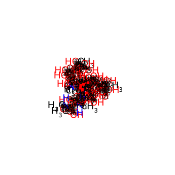 CC(=O)NC1C(O)[C@H](O[C@@H]2OC(CO[C@]3(OC=O)C[C@@H](O)[C@@H](C)C([C@H](O)[C@H](O)CO)O3)[C@H](O)[C@H](O)C2O)[C@H](CO)O[C@H]1OC1[C@@H](OCC2O[C@@H](O[C@@H]3C(CO)O[C@@H](O[C@@H]4C(CO)O[C@@H](C)C(NC(C)=O)[C@H]4O)C(NC(C)=O)[C@H]3O)C(O)[C@@H](O[C@H]3OC(CO)[C@@H](O)C(O)C3O[C@@H]3OC(CO)[C@@H](O[C@@H]4OC(CO[C@]5(OC=O)C[C@@H](O)[C@@H](C)C([C@H](O)[C@H](O)CO)O5)[C@H](O)C(O)[C@@H]4O)[C@H](O)C3NC(C)=O)[C@@H]2O)OC(CO)[C@@H](O)[C@@H]1O